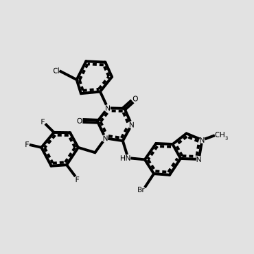 Cn1cc2cc(Nc3nc(=O)n(-c4cccc(Cl)c4)c(=O)n3Cc3cc(F)c(F)cc3F)c(Br)cc2n1